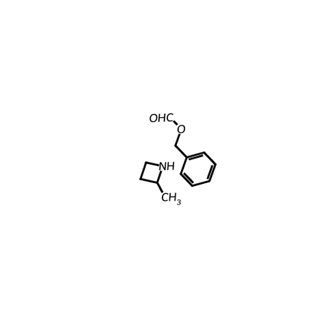 CC1CCN1.O=COCc1ccccc1